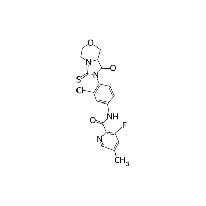 Cc1cnc(C(=O)Nc2ccc(N3C(=O)C4COCCN4C3=S)c(Cl)c2)c(F)c1